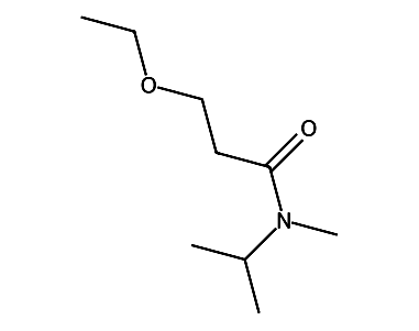 CCOCCC(=O)N(C)C(C)C